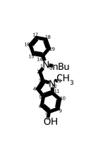 CCCCN(Cc1cc2cc(O)ccc2n1C)c1ccccc1